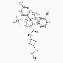 CC(C)(C)C[C@H]1N[C@@H](C(=O)NC2CN(CCO)C2)[C@H](c2cccc(Cl)c2F)[C@@]12C(=O)Nc1cc(Cl)ccc12